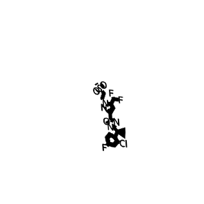 CS(=O)(=O)CCn1nc(-c2nc(C3(c4ccc(F)cc4Cl)CC3)no2)cc1C(F)F